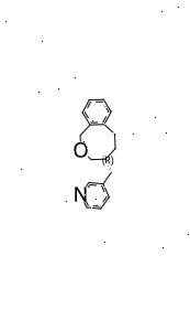 c1cncc(C[C@H]2CCc3ccccc3COC2)c1